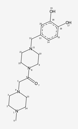 CN1CCN(CC(=O)N2CCN(Cc3ccc(O)c(O)c3)CC2)CC1